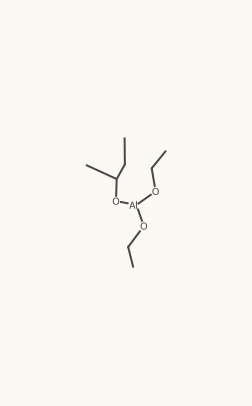 CC[O][Al]([O]CC)[O]C(C)CC